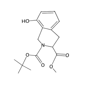 COC(=O)C1Cc2cccc(O)c2CN1C(=O)OC(C)(C)C